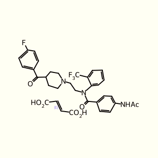 CC(=O)Nc1ccc(C(=O)N(CCN2CCC(C(=O)c3ccc(F)cc3)CC2)c2ccccc2C(F)(F)F)cc1.O=C(O)/C=C/C(=O)O